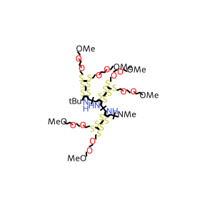 CNCC(C)(C)c1[nH]c(C(C)(C)c2[nH]c(C(C)(C)c3[nH]c(C(C)(C)C)c4c3SC(=C3SC(SCCOCCOCCOC)=C(SCCOCCOCCOC)S3)S4)c3c2SC(=C2SC(SCCOCCOCCOC)=C(SCCOCCOCCOC)S2)S3)c2c1SC(=C1SC(SCCOCCOCCOC)=C(SCCOCCOCCOC)S1)S2